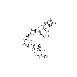 Clc1ccc(OCc2cc(OC3CN(CC4C=CC=CC4Cc4cnco4)C3)ccn2)c(Cl)c1